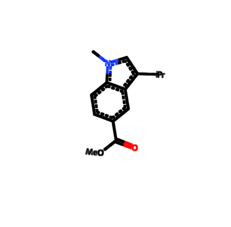 COC(=O)c1ccc2c(c1)c(C(C)C)cn2C